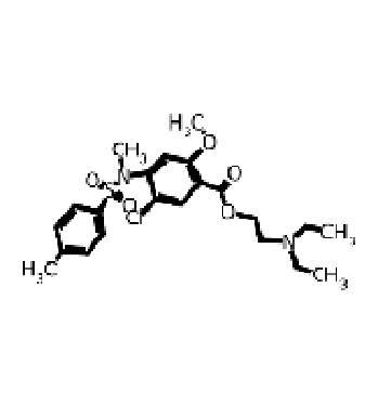 CCN(CC)CCOC(=O)c1cc(Cl)c(N(C)S(=O)(=O)c2ccc(C)cc2)cc1OC